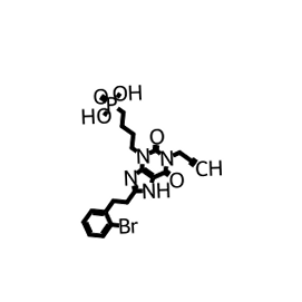 C#CCn1c(=O)c2[nH]c(CCc3ccccc3Br)nc2n(CCCCP(=O)(O)O)c1=O